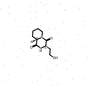 O=C1N[C@H](CCO)C(=O)N2CCCC[C@@H]12